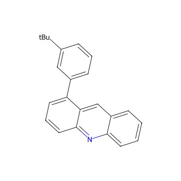 CC(C)(C)c1cccc(-c2cccc3nc4ccccc4cc23)c1